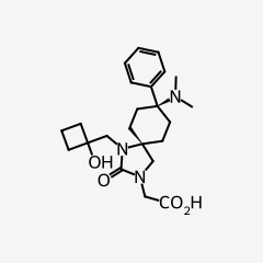 CN(C)[C@]1(c2ccccc2)CC[C@@]2(CC1)CN(CC(=O)O)C(=O)N2CC1(O)CCC1